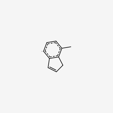 Cc1cc[c]c2c1CC=C2